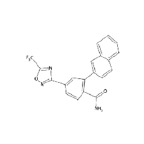 NC(=O)c1ccc(-c2noc(C(F)(F)F)n2)cc1-c1ccc2ccccc2c1